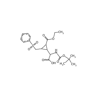 CCOC(=O)C1C(CS(=O)(=O)c2ccccc2)C1C(NC(=O)OC(C)(C)C)C(=O)O